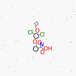 CO/N=C(/C(=O)O)c1ccccc1COc1cc(Cl)c(OCC2CCC2)c(Cl)c1